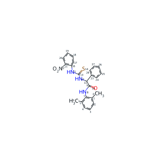 Cc1cccc(C)c1NC(=O)C(NC(=S)Nc1ccccc1[N+](=O)[O-])c1ccccc1